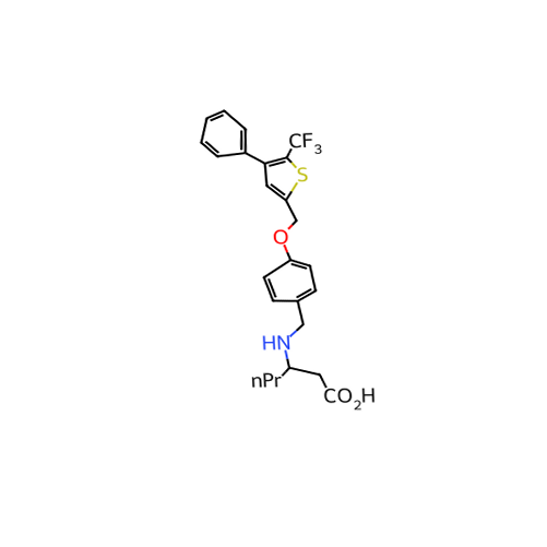 CCCC(CC(=O)O)NCc1ccc(OCc2cc(-c3ccccc3)c(C(F)(F)F)s2)cc1